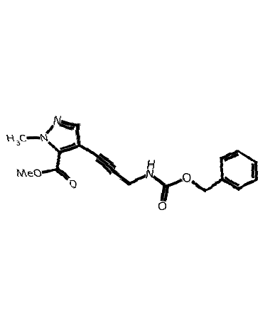 COC(=O)c1c(C#CCNC(=O)OCc2ccccc2)cnn1C